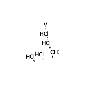 Cl.Cl.Cl.Cl.[CH].[V]